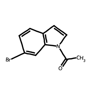 CC(=O)n1ccc2ccc(Br)cc21